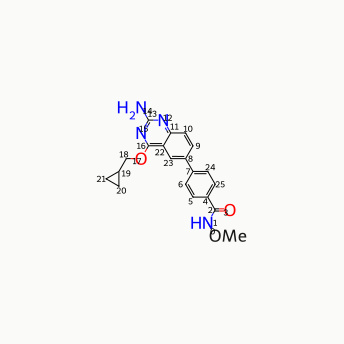 CONC(=O)c1ccc(-c2ccc3nc(N)nc(OCC4CC4)c3c2)cc1